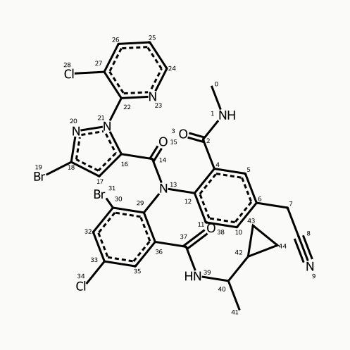 CNC(=O)c1cc(CC#N)ccc1N(C(=O)c1cc(Br)nn1-c1ncccc1Cl)c1c(Br)cc(Cl)cc1C(=O)NC(C)C1CC1